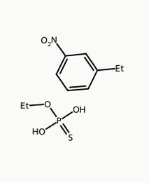 CCOP(O)(O)=S.CCc1cccc([N+](=O)[O-])c1